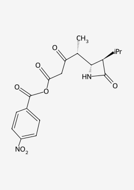 CC(C)[C@H]1C(=O)N[C@@H]1[C@@H](C)C(=O)CC(=O)OC(=O)c1ccc([N+](=O)[O-])cc1